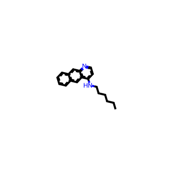 CCCCCCNc1ccnc2cc3ccccc3cc12